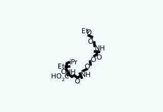 CCOCCOCCNC(C)(C)C(=O)COCCOCCNC(C)(C)C(=O)CCC(NC(=O)C(C)(CC)CC(C)C)C(=O)O